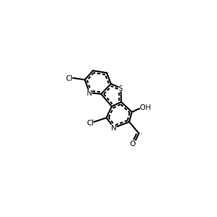 O=[C]c1nc(Cl)c2c(sc3ccc(Cl)nc32)c1O